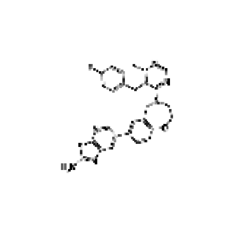 Cc1ncnc(N2CCOc3ccc(-c4cnc5sc(N)nc5c4)cc3C2)c1Cc1ccc(F)cc1